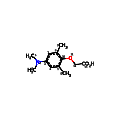 Cc1cc(N(C)C)cc(C)c1OCC(=O)O